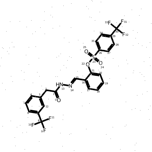 O=C(Cc1cccc(C(F)(F)F)c1)N/N=C/c1ccccc1OS(=O)(=O)c1ccc(C(F)(F)F)cc1